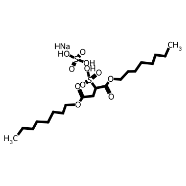 CCCCCCCCOC(=O)CC(C(=O)OCCCCCCCC)S(=O)(=O)O.O=S(=O)(O)O.[NaH]